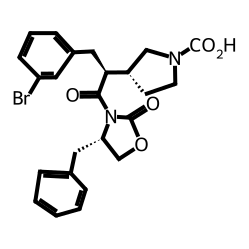 O=C(O)N1CC[C@H]([C@H](Cc2cccc(Br)c2)C(=O)N2C(=O)OC[C@@H]2Cc2ccccc2)C1